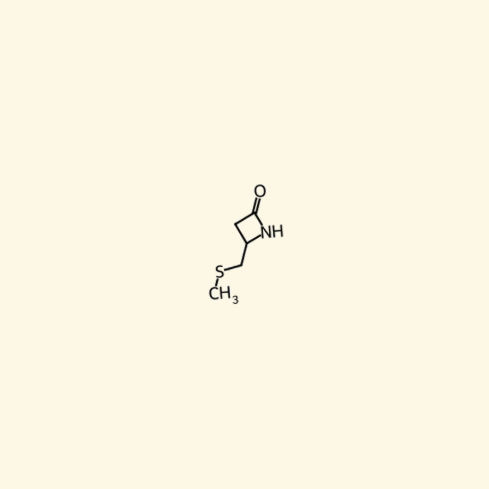 CSCC1CC(=O)N1